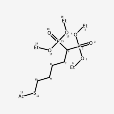 CCOP(=O)(OCC)C(CCCCSC(C)=O)P(=O)(OCC)OCC